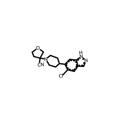 N#CC1(N2CCC(c3cc4[nH]ncc4cc3Cl)CC2)CCOC1